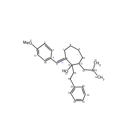 COc1ccc(/C=C2\CCCCC(CN(C)C)C2(O)CCc2ccccc2)cc1